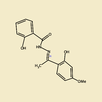 COc1ccc(/C(C)=N/NC(=O)c2ccccc2O)c(O)c1